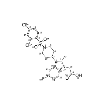 Cc1c(C2CCN(S(=O)(=O)c3ccc(Cl)cc3Cl)CC2)c2cc(F)ccc2n1CC(=O)O